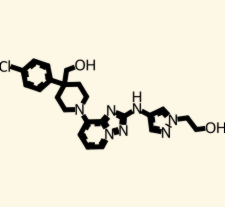 OCCn1cc(Nc2nc3c(N4CCC(CO)(c5ccc(Cl)cc5)CC4)cccn3n2)cn1